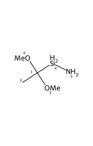 COC(C)(OC)[SiH2]N